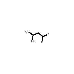 FC(F)CN(C(F)(F)F)C(F)(F)F